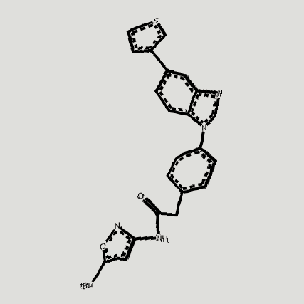 CC(C)(C)c1cc(NC(=O)Cc2ccc(-n3cnc4cc(-c5ccsc5)ccc43)cc2)no1